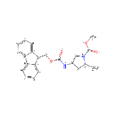 CCCCOC(=O)N1CC(NC(=O)OCC2c3ccccc3-c3ccccc32)CC1C(=O)O